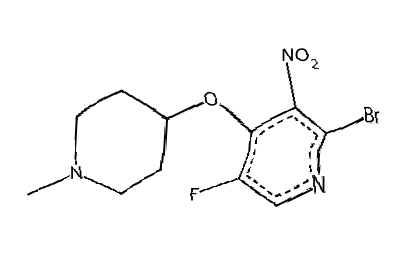 CN1CCC(Oc2c(F)cnc(Br)c2[N+](=O)[O-])CC1